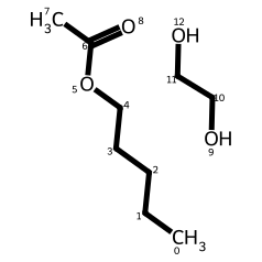 CCCCCOC(C)=O.OCCO